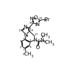 Cc1ccc2c(c1)N(C(=O)N(C)C)Cc1c(-c3noc(C(C)C)n3)ncn1-2